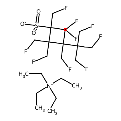 CC[N+](CC)(CC)CC.O=S(=O)([O-])C(CF)(CF)C(CF)(CF)C(CF)(CF)C(CF)(CF)CF